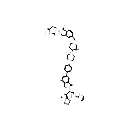 O=C1CCN(N2Cc3cc(CN4CCC(N5CCN(c6ccc(-c7cc(F)c8c(c7)C(=O)N(C(C(=O)Nc7nccs7)c7ncn9c7CCC9)C8)cc6)CC5)C(F)(F)C4)ccc3C2=O)C(=O)N1